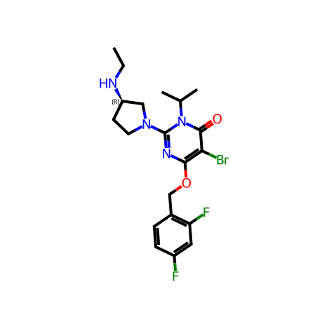 CCN[C@@H]1CCN(c2nc(OCc3ccc(F)cc3F)c(Br)c(=O)n2C(C)C)C1